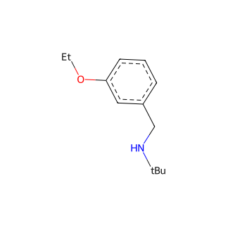 CCOc1cccc(CNC(C)(C)C)c1